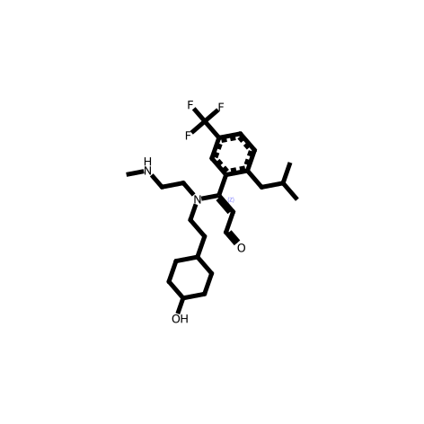 CNCCN(CCC1CCC(O)CC1)/C(=C\C=O)c1cc(C(F)(F)F)ccc1CC(C)C